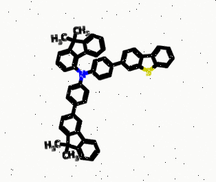 CC1(C)c2ccccc2-c2cc(-c3ccc(N(c4ccc(-c5ccc6c(c5)sc5ccccc56)cc4)c4cccc5c4-c4ccccc4C5(C)C)cc3)ccc21